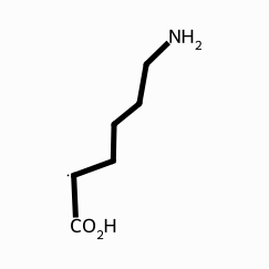 NCCCC[CH]C(=O)O